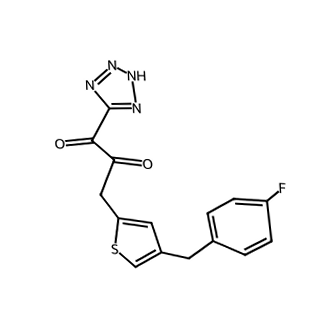 O=C(Cc1cc(Cc2ccc(F)cc2)cs1)C(=O)c1nn[nH]n1